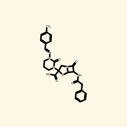 Cc1ccc(/C=N/N2CCCN(C3(C(=O)O)CN4C(=O)C(NC(=O)Cc5ccccc5)C4S3)C2=O)cc1